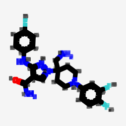 NCC1(n2cc(C(N)=O)c(Nc3ccc(F)cc3)n2)CCN(c2ccc(F)c(F)c2)CC1